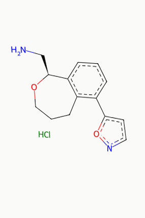 Cl.NC[C@@H]1OCCCc2c(-c3ccno3)cccc21